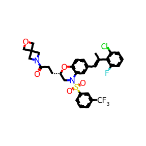 C/C(=C\c1ccc2c(c1)N(S(=O)(=O)c1cccc(C(F)(F)F)c1)C[C@H](CCC(=O)N1CC3(COC3)C1)O2)c1c(F)cccc1Cl